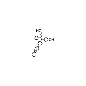 OCCC/C(=C(\c1ccc(O)cc1)c1ccc(N2CCN(C3CCCCC3)CC2)cc1)c1ccccc1